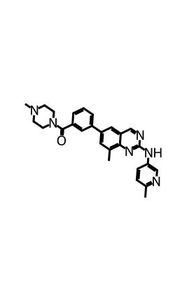 Cc1ccc(Nc2ncc3cc(-c4cccc(C(=O)N5CCN(C)CC5)c4)cc(C)c3n2)cn1